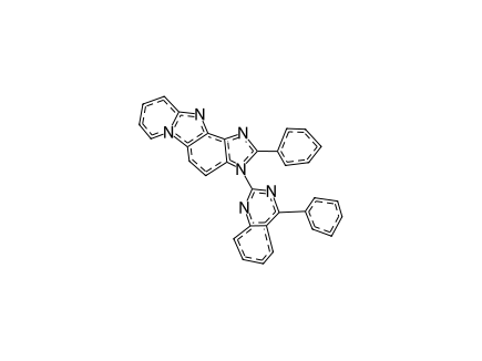 c1ccc(-c2nc(-n3c(-c4ccccc4)nc4c5nc6ccccn6c5ccc43)nc3ccccc23)cc1